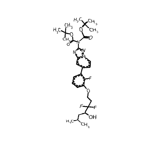 CC(C)CC(O)C(F)(F)CCOc1cccc(-c2ccn3nc(N(C(=O)OC(C)(C)C)C(=O)OC(C)(C)C)nc3c2)c1F